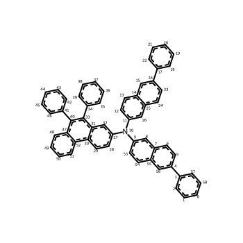 c1ccc(-c2ccc3cc(N(c4ccc5cc(-c6ccccc6)ccc5c4)c4ccc5c(c4)c(-c4ccccc4)c(-c4ccccc4)c4ccccc45)ccc3c2)cc1